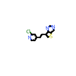 Clc1cc(/C=C/c2csc3cncnc23)ccn1